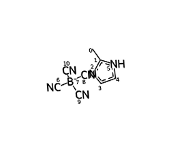 Cc1ncc[nH]1.N#C[B-](C#N)(C#N)C#N